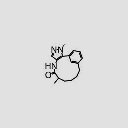 CC1CCCCc2cccc(c2)-c2c(cnn2C)NC1=O